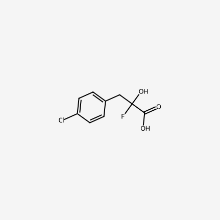 O=C(O)C(O)(F)Cc1ccc(Cl)cc1